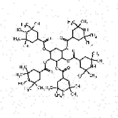 CC1(C)CC(C(=O)OC2CC(OC(=O)C3CC(C)(C)N(O)C(C)(C)C3)C(OC(=O)C3CC(C)(C)N(O)C(C)(C)C3)C(OC(=O)C3CC(C)(C)NC(C)(C)C3)C2OC(=O)C2CC(C)(C)NC(C)(C)C2)CC(C)(C)N1